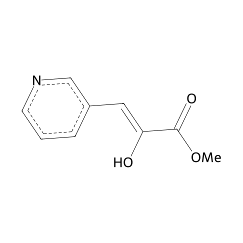 COC(=O)C(O)=Cc1cccnc1